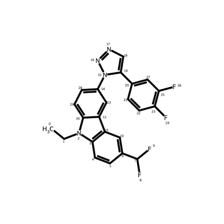 CCn1c2ccc(C(F)F)cc2c2cc(-n3nncc3-c3ccc(F)c(F)c3)ccc21